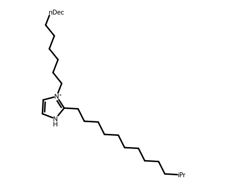 CCCCCCCCCCCCCCCC[n+]1cc[nH]c1CCCCCCCCCCC(C)C